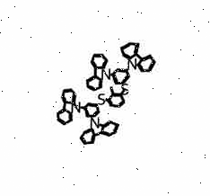 Cc1c(Sc2cc(-n3c4ccccc4c4ccccc43)cc(-n3c4ccccc4c4ccccc43)c2)cccc1Sc1cc(-n2c3ccccc3c3ccccc32)cc(-n2c3ccccc3c3ccccc32)c1